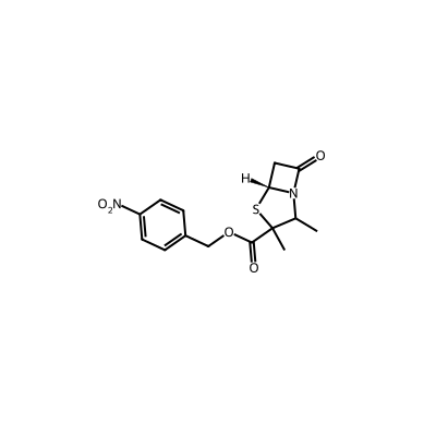 CC1N2C(=O)C[C@H]2SC1(C)C(=O)OCc1ccc([N+](=O)[O-])cc1